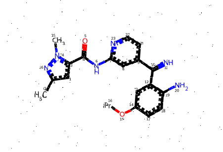 Cc1cc(C(=O)Nc2cc(C(=N)c3cc(OC(C)C)ccc3N)ccn2)n(C)n1